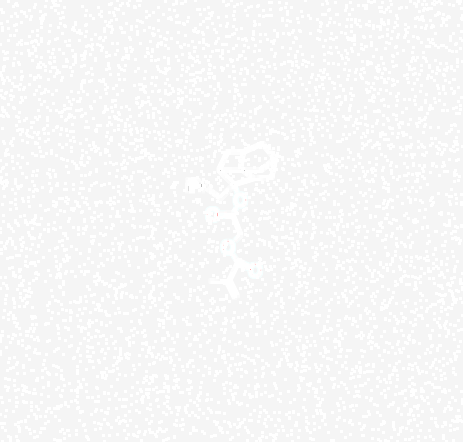 C=C(C)C(=O)OCC(=O)OC1(CC(C)C)C2CC3CC(C2)CC1C3